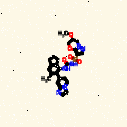 CO[C@@H]1COc2c(S(=O)(=O)NC(=O)Nc3c4c(cc(C)c3-c3ccn5ccnc5c3)CCC4)cnn2C1